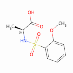 COc1ccccc1S(=O)(=O)N[C@@H](C)C(=O)O